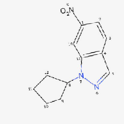 O=[N+]([O-])c1ccc2cnn(C3CCCC3)c2c1